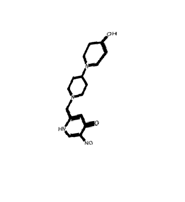 O=Nc1c[nH]c(CN2CCC(N3CCC(O)CC3)CC2)cc1=O